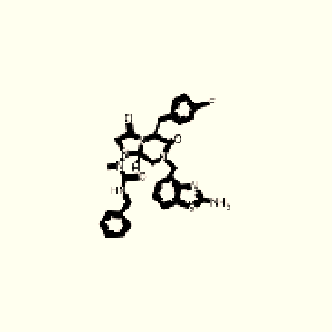 CN(C(=O)NCc1ccccc1)N1CC(=O)N2[C@@H](Cc3ccc(F)cc3)C(=O)N(Cc3cccc4sc(N)nc34)C[C@@H]21